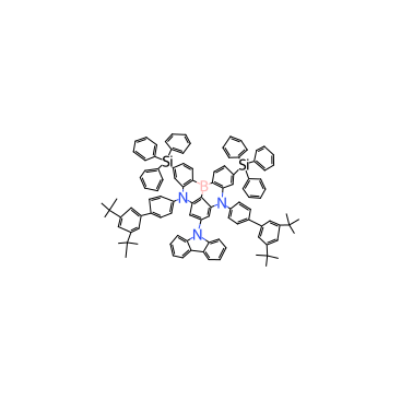 CC(C)(C)c1cc(-c2ccc(N3c4cc([Si](c5ccccc5)(c5ccccc5)c5ccccc5)ccc4B4c5ccc([Si](c6ccccc6)(c6ccccc6)c6ccccc6)cc5N(c5ccc(-c6cc(C(C)(C)C)cc(C(C)(C)C)c6)cc5)c5cc(-n6c7ccccc7c7ccccc76)cc3c54)cc2)cc(C(C)(C)C)c1